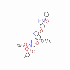 COc1cc2c(Oc3ccc(NC(=O)c4ccccc4)cc3)ccnc2cc1OCC[C@H](NC(=O)OC(C)(C)C)C(=O)OC1CCC(C)C1